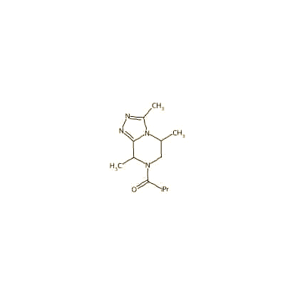 Cc1nnc2n1C(C)CN(C(=O)C(C)C)C2C